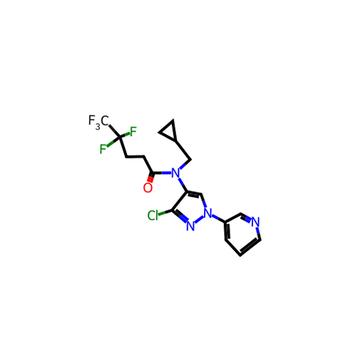 O=C(CCC(F)(F)C(F)(F)F)N(CC1CC1)c1cn(-c2cccnc2)nc1Cl